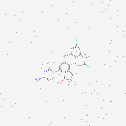 Cc1nc(N)ccc1-c1ccc([C@H]2C[C@H](F)[C@H](F)c3cc(F)cc(C#N)c32)c2c1[C@H](O)C(F)(F)C2